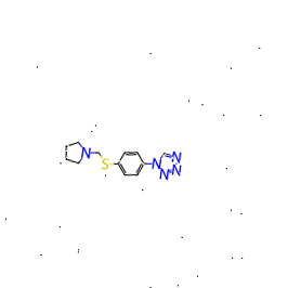 c1cc(-n2cnnn2)ccc1SCN1CCCC1